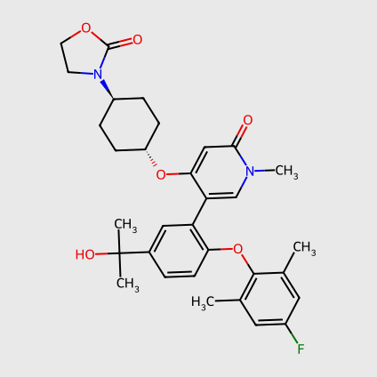 Cc1cc(F)cc(C)c1Oc1ccc(C(C)(C)O)cc1-c1cn(C)c(=O)cc1O[C@H]1CC[C@H](N2CCOC2=O)CC1